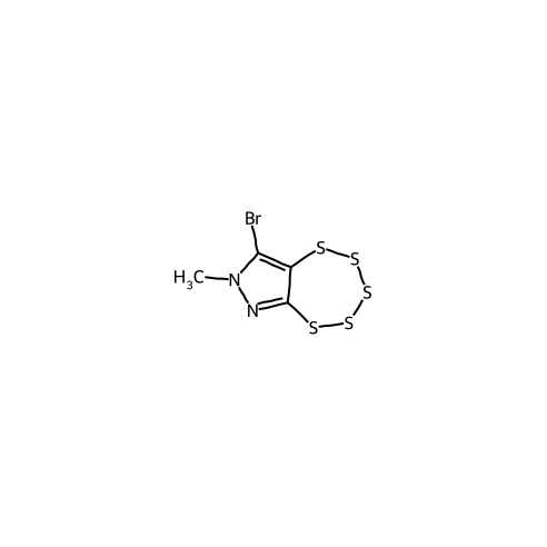 Cn1nc2c(c1Br)SSSSS2